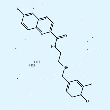 CCN1CC=C(CNCCNC(=O)c2cnc3cc(I)ccc3n2)C=C1F.Cl.Cl